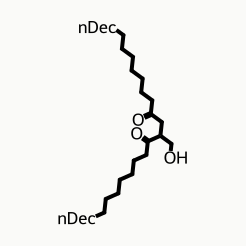 CCCCCCCCCCCCCCCCCC(=O)CC(CO)C(=O)CCCCCCCCCCCCCCCCC